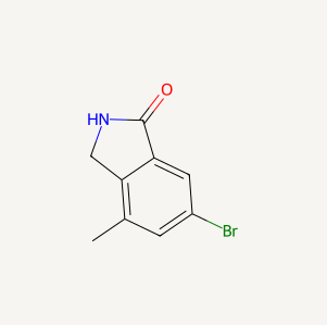 Cc1cc(Br)cc2c1CNC2=O